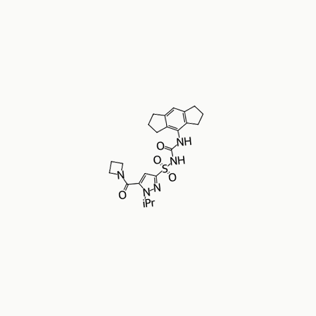 CC(C)n1nc(S(=O)(=O)NC(=O)Nc2c3c(cc4c2CCC4)CCC3)cc1C(=O)N1CCC1